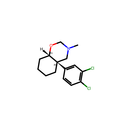 CN1CO[C@H]2CCCC[C@@]2(c2ccc(Cl)c(Cl)c2)C1